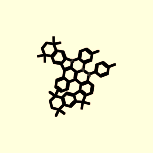 Cc1ccc(N2B3c4cc(C)ccc4-n4c5cc6c(cc5c5c7ccccc7c(c3c54)-c3c2ccc2c3-c3cc4c(cc3C2(C)C)C(C)(C)CCC4(C)C)C(C)(C)CCC6(C)C)cc1